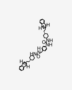 O=C(NCc1ccc(NC(=O)N[C@H]2CC[C@H](CCN3[C@@H]4CC[C@H]3c3ccccc34)CC2)cc1)N[C@H]1CC[C@H](CCN2[C@@H]3CC[C@H]2c2ccccc23)CC1